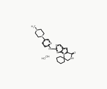 CN1CCN(c2ccc(Nc3ncc4cc5n(c4n3)C3(CCCCC3)CNC5=O)nc2)CC1.Cl.Cl